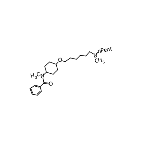 CCCCCN(C)CCCCCCOC1CCC(N(C)C(=O)c2ccccc2)CC1